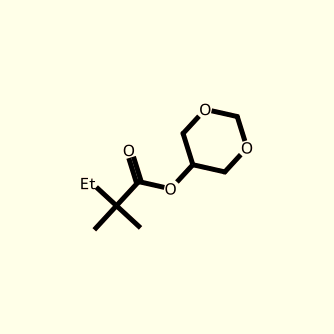 CCC(C)(C)C(=O)OC1COCOC1